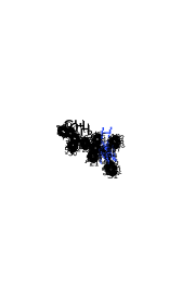 CC1(C)c2ccccc2-c2c1cc(-c1ccc(-c3c4ccccc4c(C4=NC(c5ccccc5)=NC(c5ccccc5)N4)c4ccccc34)cc1)c1ccccc21